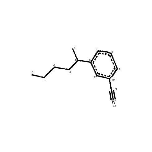 CCCCC(C)c1cccc(C#N)c1